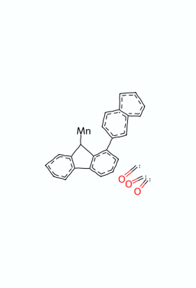 [C]=O.[C]=O.[C]=O.[Mn][CH]1c2ccccc2-c2cccc(-c3ccc4ccccc4c3)c21